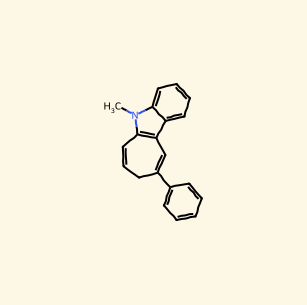 Cn1c2c(c3ccccc31)C=C(c1ccccc1)CC=C2